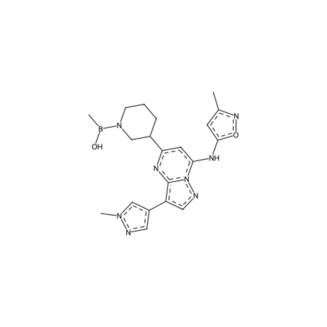 CB(O)N1CCCC(c2cc(Nc3cc(C)no3)n3ncc(-c4cnn(C)c4)c3n2)C1